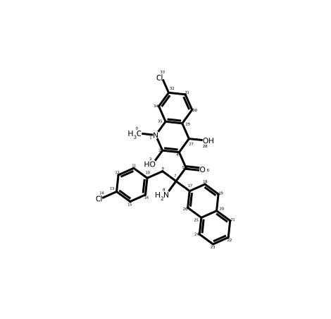 CN1C(O)=C(C(=O)C(N)(Cc2ccc(Cl)cc2)c2ccc3ccccc3c2)C(O)c2ccc(Cl)cc21